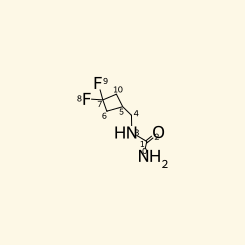 NC(=O)NCC1CC(F)(F)C1